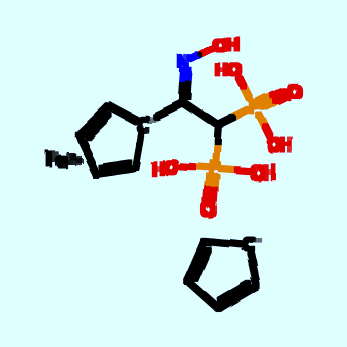 O=P(O)(O)C(C(=NO)[c-]1cccc1)P(=O)(O)O.[Fe+2].c1cc[cH-]c1